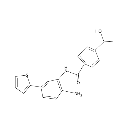 CC(O)c1ccc(C(=O)Nc2cc(-c3cccs3)ccc2N)cc1